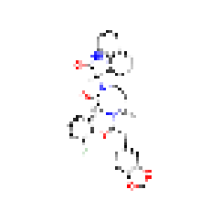 C[C@@H]1CCN(C(C)(C(N)=O)c2cccc3ccccc23)C(=O)[C@H](c2cccc(Cl)c2)N1C(=O)Cc1ccc2c(c1)OCO2